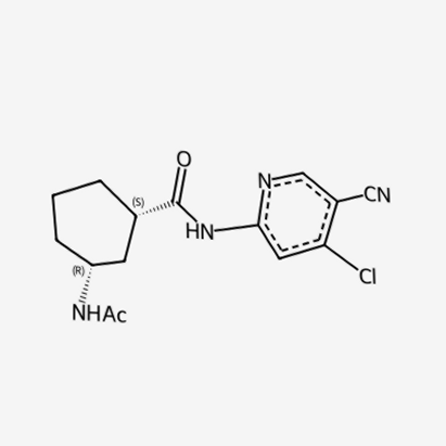 CC(=O)N[C@@H]1CCC[C@H](C(=O)Nc2cc(Cl)c(C#N)cn2)C1